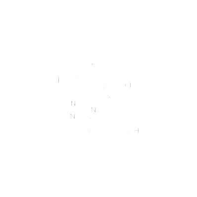 Cc1cc(C)cc(-n2c(Br)nnc2-c2ccccc2C)c1